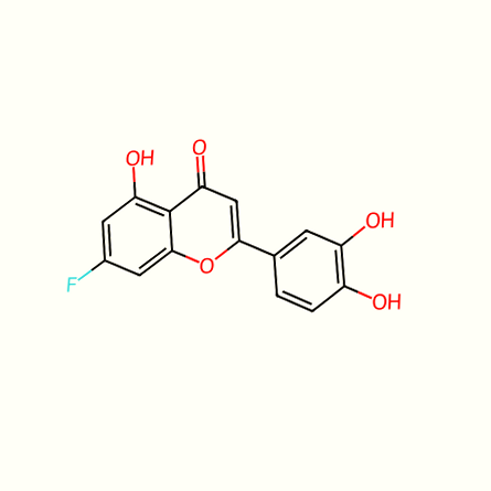 O=c1cc(-c2ccc(O)c(O)c2)oc2cc(F)cc(O)c12